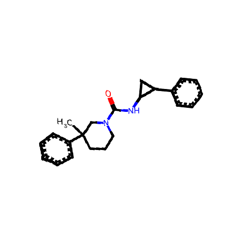 CC1(c2ccccc2)CCCN(C(=O)NC2CC2c2ccccc2)C1